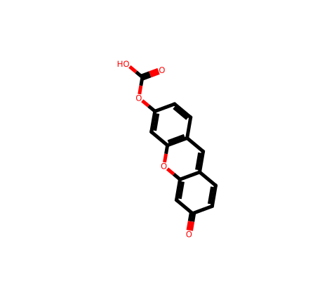 O=C(O)Oc1ccc2cc3ccc(=O)cc-3oc2c1